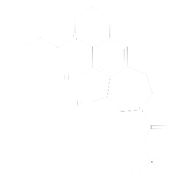 CCCN1CCOc2cc3c(c(C)c21)C(C)CN(C(=O)OC(C)(C)C)CC3